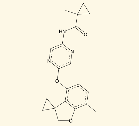 Cc1ccc(Oc2cnc(NC(=O)C3(C)CC3)cn2)c2c1OCC21CC1